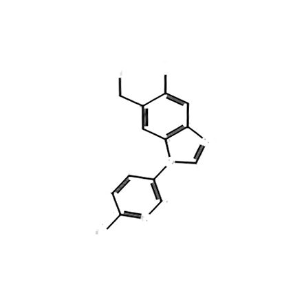 CC(C)Cc1cc2c(cc1F)ncn2-c1ccc(C(C)C)nc1